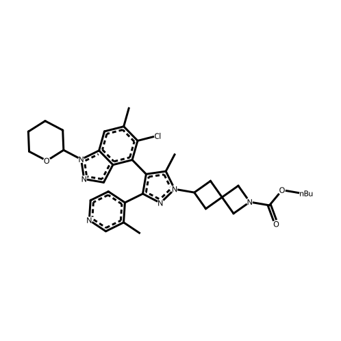 CCCCOC(=O)N1CC2(CC(n3nc(-c4ccncc4C)c(-c4c(Cl)c(C)cc5c4cnn5C4CCCCO4)c3C)C2)C1